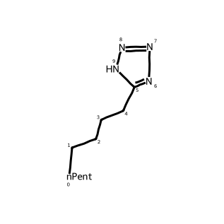 [CH2]CCCCCCCCc1nnn[nH]1